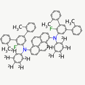 [2H]c1c([2H])c([2H])c(N(c2cc(-c3ccccc3C)cc(-c3ccccc3C)c2F)c2ccc3ccc4c(N(c5cc(-c6ccccc6C)cc(-c6ccccc6C)c5F)c5c([2H])c([2H])c([2H])c([2H])c5[2H])ccc5ccc2c3c54)c([2H])c1[2H]